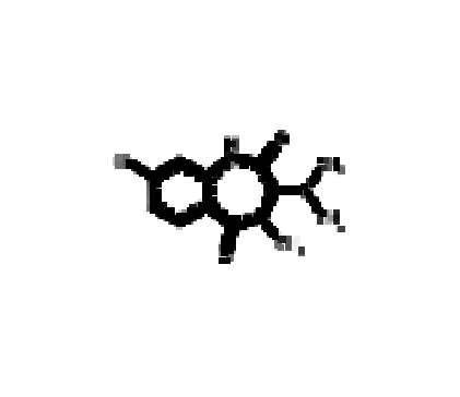 Cc1c(N(C)C)c(=O)[nH]c2cc(Cl)ccc2c1=O